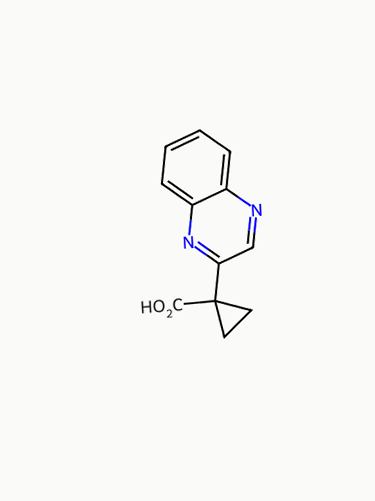 O=C(O)C1(c2cnc3ccccc3n2)CC1